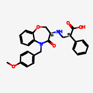 COc1ccc(CN2C(=O)[C@@H](NC[C@H](C(=O)O)c3ccccc3)COc3ccccc32)cc1